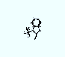 CCC1Cc2ccccc2N1C(C)(C)CC